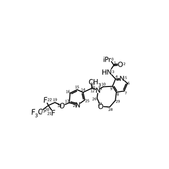 CC(C)C(=O)Nc1nccc2c1CN([C@H](C)c1ccc(OCC(F)(F)C(F)(F)F)nc1)COCC2